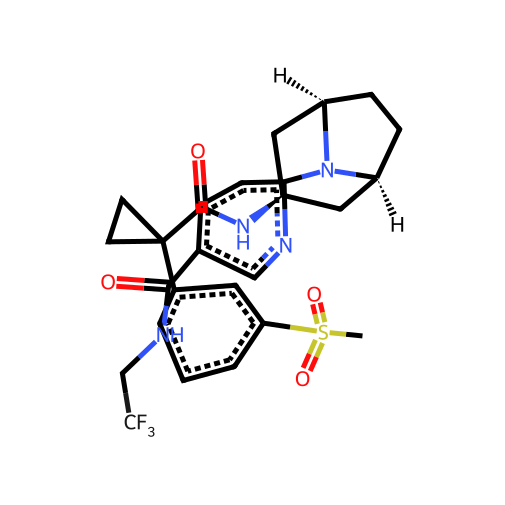 CS(=O)(=O)c1cccc(C2(C(=O)N[C@H]3C[C@H]4CC[C@@H](C3)N4c3ccc(C(=O)NCC(F)(F)F)cn3)CC2)c1